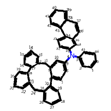 c1ccc(N(c2ccc3c(c2)Cc2ccccc2-c2ccccc2Cc2ccccc2-3)c2ccc3c(ccc4ccccc43)c2)cc1